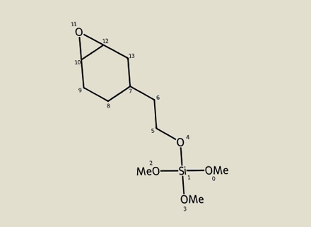 CO[Si](OC)(OC)OCCC1CCC2OC2C1